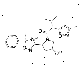 Cc1cc([C@H](C(=O)N2C[C@H](O)C[C@H]2C2=NO[C@@](C)(c3ccccc3)N2)C(C)C)on1